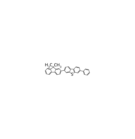 CC1(C)c2ccccc2-c2ccc(-c3ccc4c(c3)sc3cc(-c5ccccc5)ccc34)cc21